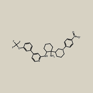 NC1(C2CCCN(c3ccc([N+](=O)[O-])cc3)C2)CCCCC1Nc1cc(-c2cccc(OC(F)(F)F)c2)ccn1